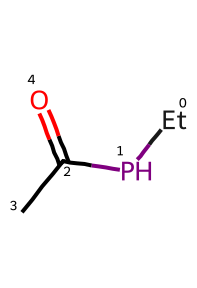 CCPC(C)=O